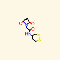 O=C(CN1C(=O)C=CC1=O)NC1CCSSC1